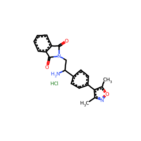 Cc1noc(C)c1-c1ccc(C(N)CN2C(=O)c3ccccc3C2=O)cc1.Cl